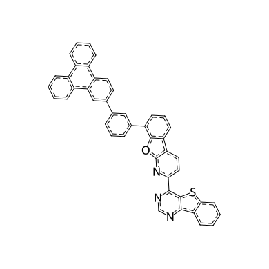 c1cc(-c2ccc3c4ccccc4c4ccccc4c3c2)cc(-c2cccc3c2oc2nc(-c4ncnc5c4sc4ccccc45)ccc23)c1